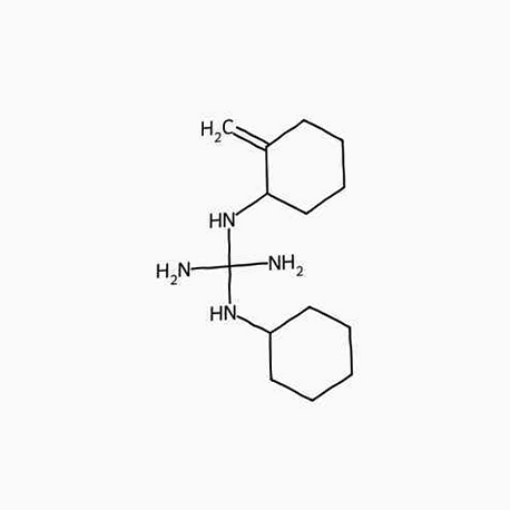 C=C1CCCCC1NC(N)(N)NC1CCCCC1